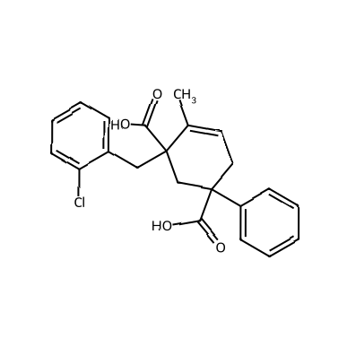 CC1=CCC(C(=O)O)(c2ccccc2)CC1(Cc1ccccc1Cl)C(=O)O